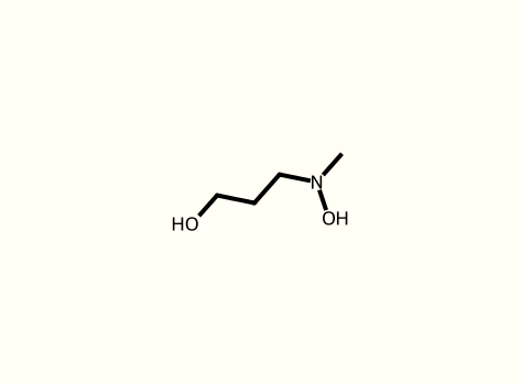 CN(O)CCCO